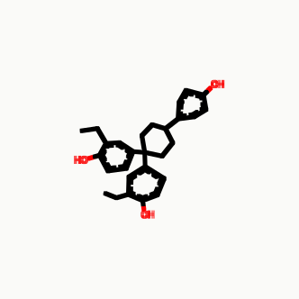 CCc1cc(C2(c3ccc(O)c(CC)c3)CCC(c3ccc(O)cc3)CC2)ccc1O